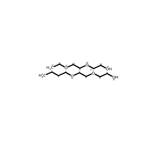 CCCCOCCOCCO.CCOCCOCCO